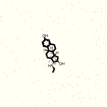 CCN[C@H]1[C@H](O)C[C@H]2[C@@H]3CCc4cc(O)ccc4[C@H]3CC[C@@]21C